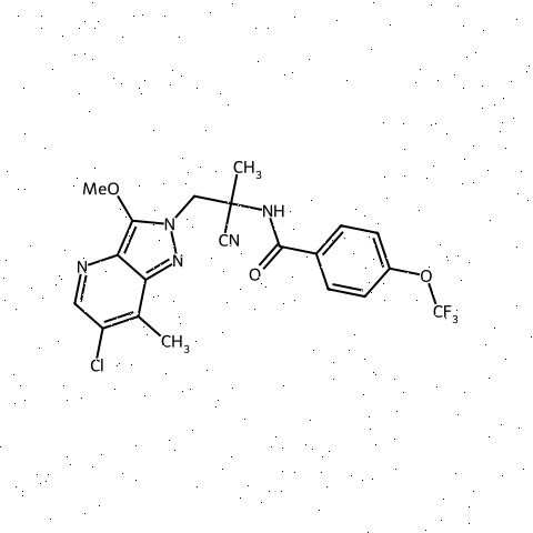 COc1c2ncc(Cl)c(C)c2nn1CC(C)(C#N)NC(=O)c1ccc(OC(F)(F)F)cc1